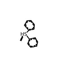 C=C[SH](c1ccccc1)c1ccccc1